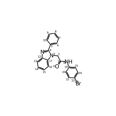 O=C(Cn1c(-c2ccccc2)nc2ccccc21)Nc1ccc(Br)cc1